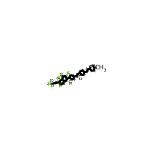 CC1CCC(/C=C/c2ccc(/C=C/c3cc(F)c(-c4cc(F)c5c(F)c(C#CC(F)(F)F)c(F)cc5c4)c(F)c3)c(F)c2)CC1